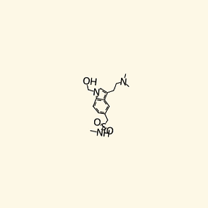 CNS(=O)(=O)Cc1ccc2c(c1)c(CCN(C)C)cn2CO